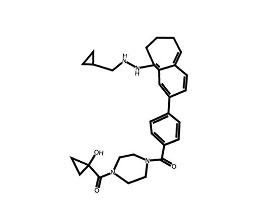 O=C(c1ccc(-c2ccc3c(c2)=C(NNCC2CC2)CCCC=3)cc1)N1CCN(C(=O)C2(O)CC2)CC1